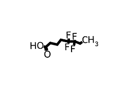 CCC(F)(F)C(F)(F)CCCC(=O)O